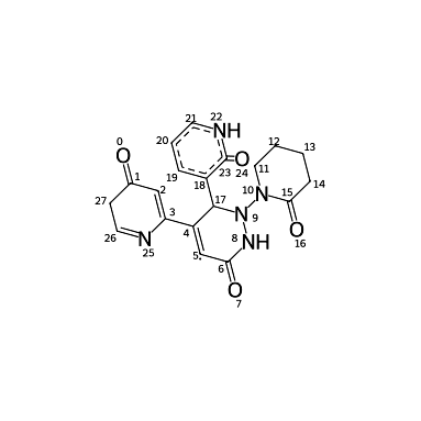 O=C1C=C(C2=[C]C(=O)NN(N3CCCCC3=O)C2c2ccc[nH]c2=O)N=CC1